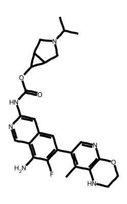 Cc1c(-c2cc3cc(NC(=O)OC4C5CN(C(C)C)CC54)ncc3c(N)c2F)cnc2c1NCCO2